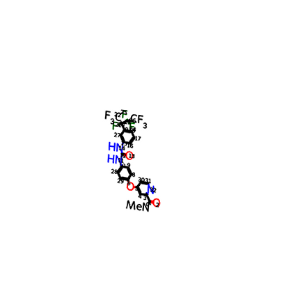 CNC(=O)c1cc(Oc2ccc(NC(=O)Nc3cccc(C(F)(C(F)(F)F)C(F)(F)C(F)(F)F)c3)cc2)ccn1